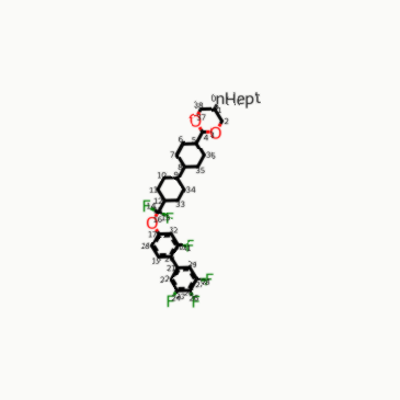 CCCCCCCC1COC(C2CCC(C3CCC(C(F)(F)Oc4ccc(-c5cc(F)c(F)c(F)c5)c(F)c4)CC3)CC2)OC1